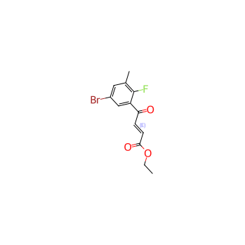 CCOC(=O)/C=C/C(=O)c1cc(Br)cc(C)c1F